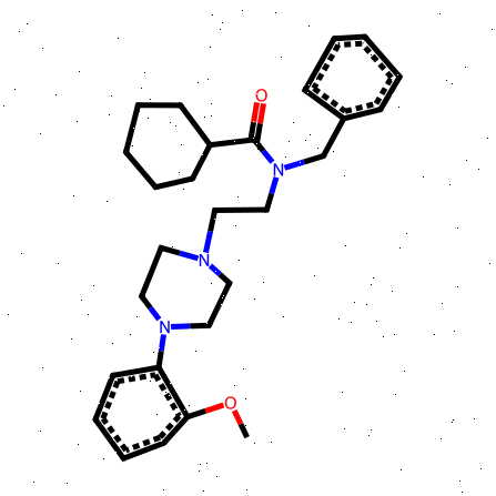 COc1ccccc1N1CCN(CCN(Cc2ccccc2)C(=O)C2CCCCC2)CC1